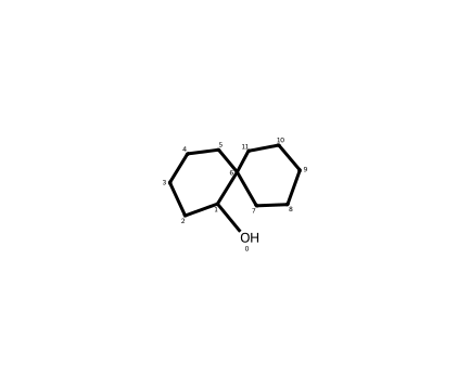 OC1CCCCC12CCCCC2